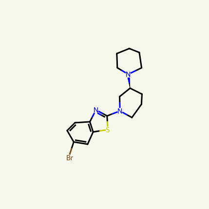 Brc1ccc2nc(N3CCC[C@H](N4CCCCC4)C3)sc2c1